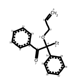 C=CCOC(CC)(C(=O)c1ccccc1)c1ccccc1